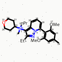 CCC[N+](C)(c1c(CC)nn2c(-c3c(OC)cc(C)cc3OC)cccc12)C1CCOCC1